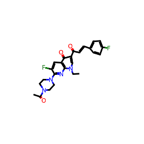 CCn1cc(C(=O)C=Cc2ccc(F)cc2)c(=O)c2cc(F)c(N3CCN(C(C)=O)CC3)nc21